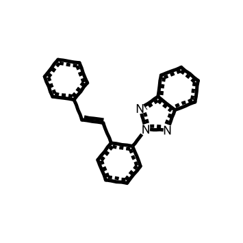 C(=Cc1ccccc1-n1nc2ccccc2n1)c1ccccc1